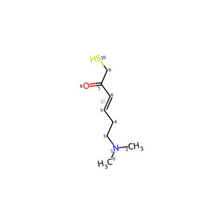 CN(C)CC/C=C/C(=O)CS